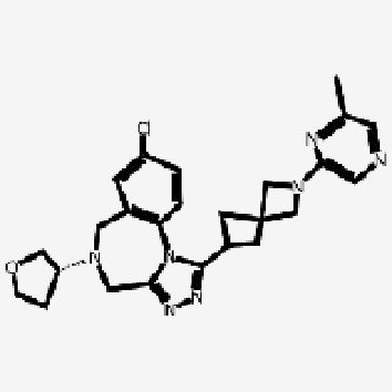 Cc1cncc(N2CC3(CC(c4nnc5n4-c4ccc(Cl)cc4CN([C@@H]4CCOC4)C5)C3)C2)n1